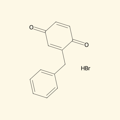 Br.O=C1C=CC(=O)C(Cc2ccccc2)=C1